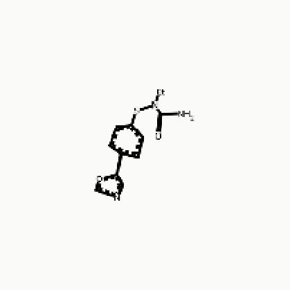 CCN(Sc1ccc(-c2cnco2)cc1)C(N)=O